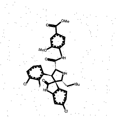 COC(=O)c1ccc(NC(=O)[C@@H]2N[C@H](CC(C)(C)C)[C@]3(C(=O)Nc4cc(Cl)ccc43)[C@H]2c2cccc(Cl)c2F)c(OC)c1